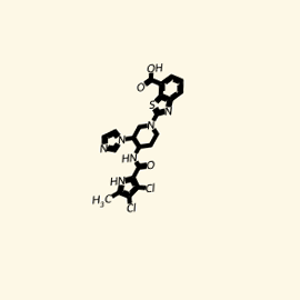 Cc1[nH]c(C(=O)NC2CCN(c3nc4cccc(C(=O)O)c4s3)CC2n2ccnc2)c(Cl)c1Cl